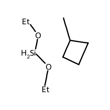 CC1CCC1.CCO[SiH2]OCC